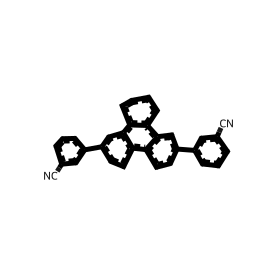 N#Cc1cccc(-c2ccc3c4ccc(-c5cccc(C#N)c5)cc4c4ccccc4c3c2)c1